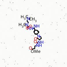 COC(=O)CCNC(=O)N[C@H]1CCN(c2ccc(C(=N)NOC(=O)N(C)CCN(C)C)cc2)C1=O